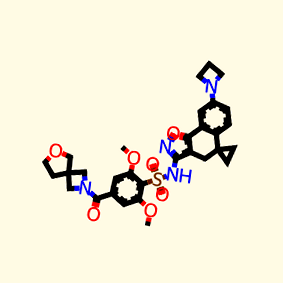 COc1cc(C(=O)N2CC3(CCOC3)C2)cc(OC)c1S(=O)(=O)Nc1noc2c1CC1(CC1)c1ccc(N3CCC3)cc1-2